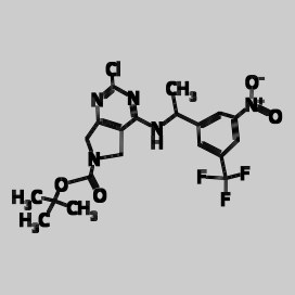 CC(Nc1nc(Cl)nc2c1CN(C(=O)OC(C)(C)C)C2)c1cc([N+](=O)[O-])cc(C(F)(F)F)c1